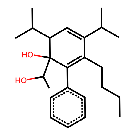 CCCCC1=C(c2ccccc2)C(O)(C(C)O)C(C(C)C)C=C1C(C)C